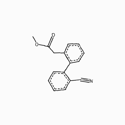 COC(=O)Cc1ccccc1-c1ccccc1C#N